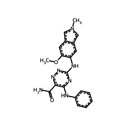 COc1cc2cn(C)cc2cc1Nc1nnc(C(N)=O)c(Nc2ccccc2)n1